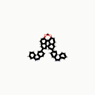 C(=C/c1ccc(-c2ccc3c4c(ccc3c2)OCOc2ccc3cc(-c5ccc(/C=C\c6ccccc6)cc5)ccc3c2-4)cc1)/c1ccccc1